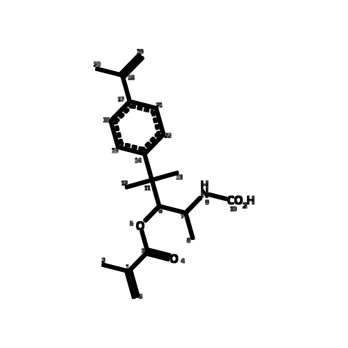 C=C(C)C(=O)OC(C(C)NC(=O)O)C(C)(C)c1ccc(C(=C)C)cc1